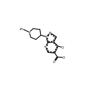 CC(C)N1CCC(n2ncc3c(Cl)c(C(=O)Cl)cnc32)CC1